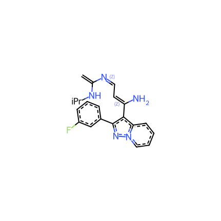 C=C(/N=C\C=C(/N)c1c(-c2cccc(F)c2)nn2ccccc12)NC(C)C